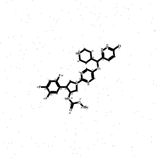 CCc1ccc(C(Oc2cnc(N3CC(NC(=O)OC(C)(C)C)C(c4cc(F)c(F)cc4F)C3)nc2)C2CCNCC2)nn1